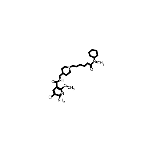 COc1nc(N)c(Cl)cc1C(=O)NCC1CCN(CCCCCC(=O)N(C)C2CCCCC2)CC1